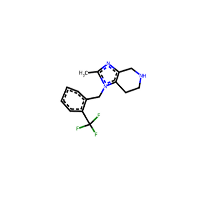 Cc1nc2c(n1Cc1ccccc1C(F)(F)F)CCNC2